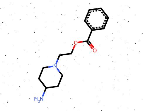 NC1CCN(CCOC(=O)c2ccccc2)CC1